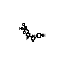 O=C1NC(=O)/C(=C\c2ccc(F)c(-c3cncc(N4CCCNCC4)n3)c2)S1